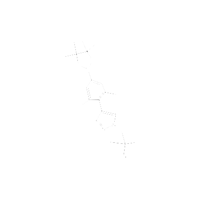 CC(C)(O)Cn1cc(-c2c(F)cc(B3OC(C)(C)C(C)(C)O3)cc2F)cn1